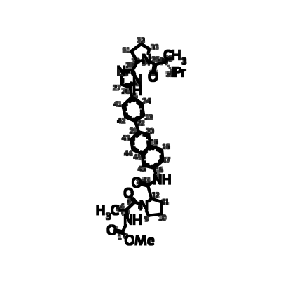 COC(=O)N[C@@H](C)C(=O)N1CCCC1C(=O)Nc1ccc2cc(-c3ccc(-c4cnc(C5CCCN5C(=O)[C@H](C)C(C)C)[nH]4)cc3)ccc2c1